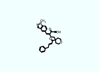 C#CC(=O)/C(=C\c1ccc2c(cnn2C)c1)CCC1(C(=O)/C=C/Cc2ccccc2)CCOCC1